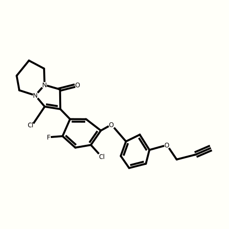 C#CCOc1cccc(Oc2cc(-c3c(Cl)n4n(c3=O)CCCC4)c(F)cc2Cl)c1